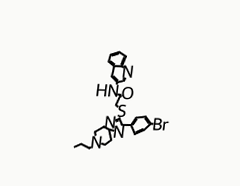 CCCN1CCC2(CC1)N=C(SCC(=O)Nc1cnc3ccccc3c1)C(c1ccc(Br)cc1)=N2